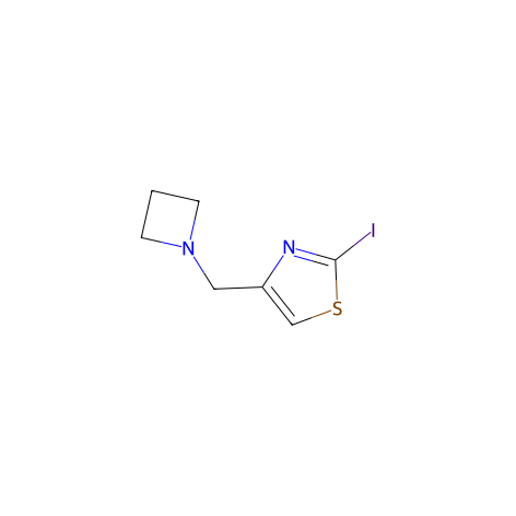 Ic1nc(CN2CCC2)cs1